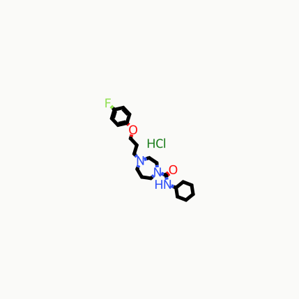 Cl.O=C(NC1CCCCC1)N1CCCN(CCCOc2ccc(F)cc2)CC1